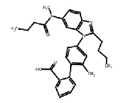 CCCCc1nc2ccc(N(C)C(=O)CCC)cc2n1-c1ccc(-c2ccccc2C(=O)O)c(C)c1